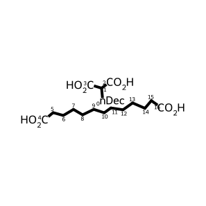 CCCCCCCCCCC(C(=O)O)C(=O)O.O=C(O)CCCCCCCCCCCC(=O)O